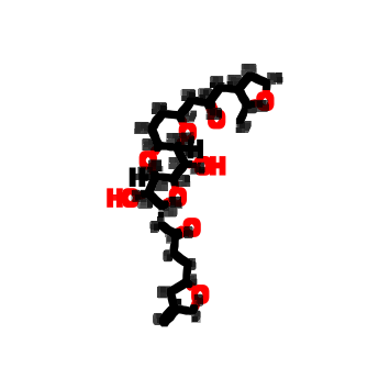 C=C1COC(CCC(=O)C[C@H]2OC3C(O)[C@H]4OC(CC(=O)CC5CCO[C@H]5C)CCC4O[C@H]3C2O)C1